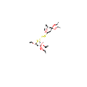 CCOC(CC([SiH3])(OCC)OCC)SSSSC(CC([SiH3])(OCC)OCC)OCC